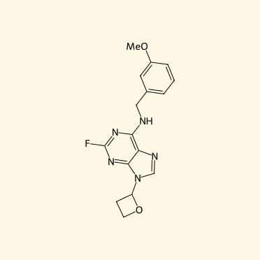 COc1cccc(CNc2nc(F)nc3c2ncn3C2CCO2)c1